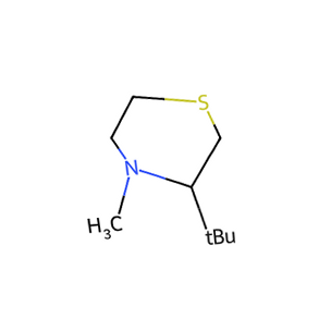 CN1CCSCC1C(C)(C)C